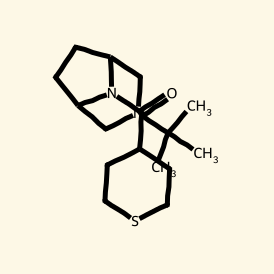 CC(C)(C)N1CC2CCC(C1)N2C(=O)C1CCSCC1